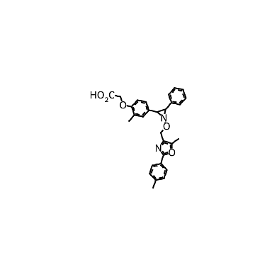 Cc1ccc(-c2nc(CON3C(c4ccccc4)C3c3ccc(OCC(=O)O)c(C)c3)c(C)o2)cc1